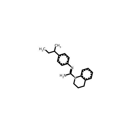 CCC(C)c1ccc(N=C(N)N2CCCc3ccccc32)cc1